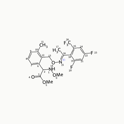 CONC(C(=O)OC)c1cccc(C)c1CO/N=C(\C)c1c(F)cc(F)cc1C(F)(F)F